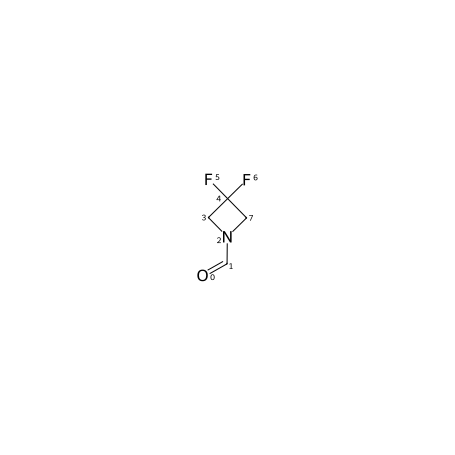 O=CN1CC(F)(F)C1